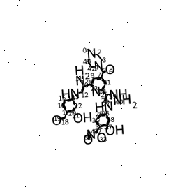 CN1CCN(C(=O)c2cc(/C(N)=C/Nc3ccc(C=O)c(O)c3)nc(/C(=C/Nc3ccc(C(=O)N=O)c(O)c3)NN)c2)CC1